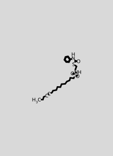 CCCCCCCCCCCCCCCCS(=O)(=O)NCCSC(=O)Nc1ccccc1